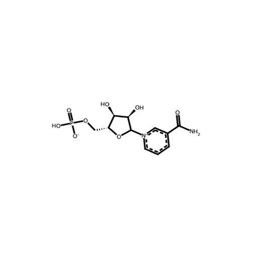 NC(=O)c1ccc[n+](C2O[C@H](COP(=O)([O-])O)[C@@H](O)[C@H]2O)c1